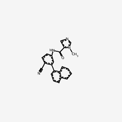 Cn1cncc1C(=O)Nc1ccc(C#N)c(-c2cccc3ccccc23)c1